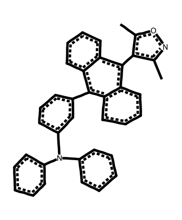 Cc1noc(C)c1-c1c2ccccc2c(-c2cccc(N(c3ccccc3)c3ccccc3)c2)c2ccccc12